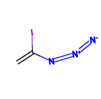 C=C(I)N=[N+]=[N-]